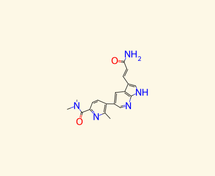 Cc1nc(C(=O)N(C)C)ccc1-c1cnc2[nH]cc(C=CC(N)=O)c2c1